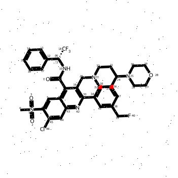 CS(=O)(=O)c1cc2c(C(=O)N[C@H](c3ccccc3)C(F)(F)F)c(CN3CCC(N4CCOCC4)CC3)c(-c3cccc(CF)c3)nc2cc1Cl